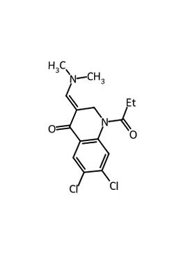 CCC(=O)N1CC(=CN(C)C)C(=O)c2cc(Cl)c(Cl)cc21